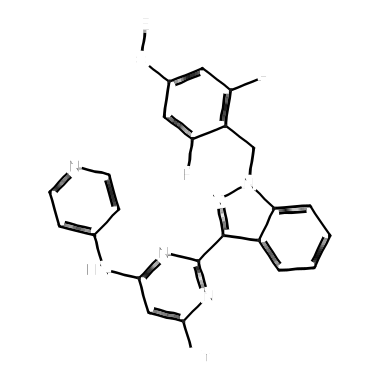 CCOc1cc(F)c(Cn2nc(-c3nc(Nc4ccncc4)cc(C(C)C)n3)c3ccccc32)c(F)c1